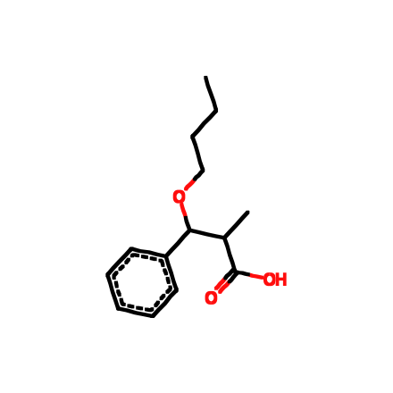 CCCCOC(c1ccccc1)C(C)C(=O)O